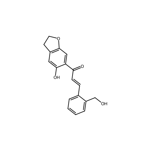 O=C(C=Cc1ccccc1CO)c1cc2c(cc1O)CCO2